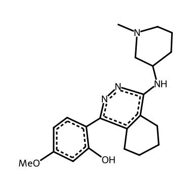 COc1ccc(-c2nnc(NC3CCCN(C)C3)c3c2CCCC3)c(O)c1